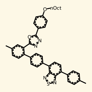 CCCCCCCCOc1ccc(-c2nnc(-c3cc(C)ccc3-c3ccc(-c4ccc(-c5ccc(C)cc5)c5nsnc45)cc3)o2)cc1